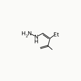 C=C(C)C(=CNN)CC